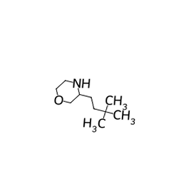 CC(C)(C)CCC1COCCN1